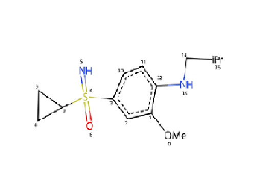 COc1cc(S(=N)(=O)C2CC2)ccc1NCC(C)C